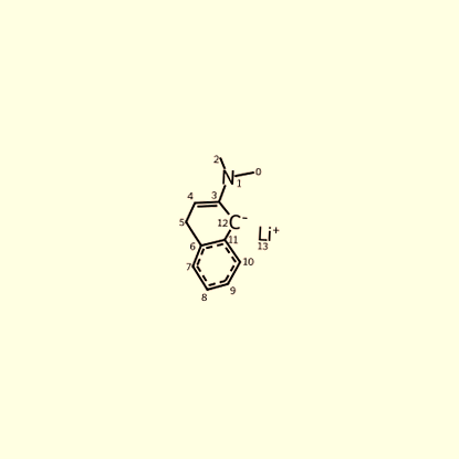 CN(C)C1=CCc2ccccc2[CH-]1.[Li+]